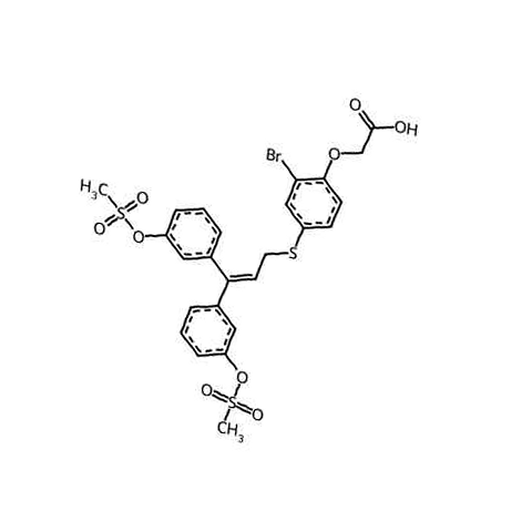 CS(=O)(=O)Oc1cccc(C(=CCSc2ccc(OCC(=O)O)c(Br)c2)c2cccc(OS(C)(=O)=O)c2)c1